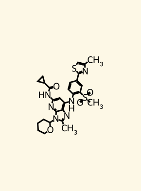 Cc1csc(-c2ccc(Nc3cc(NC(=O)C4CC4)nc4c3nc(C)n4C3CCCCO3)c(S(C)(=O)=O)c2)n1